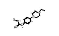 CCN1CCN(c2ccc(NC(=N)NCl)cc2)CC1